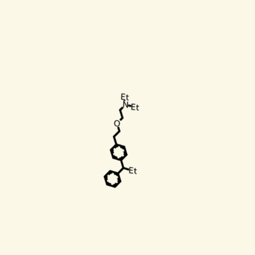 CCC(c1ccccc1)c1ccc(CCOCCN(CC)CC)cc1